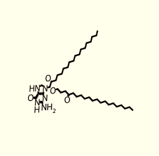 CCCCCCCCCCCCCCCCC(=O)CCCOC(C(=O)CCCCCCCCCCCCCCCC)N1CNc2c1nc(N)[nH]c2=O